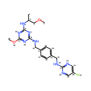 COCC(C)Nc1nc(NCc2ccc(CNc3ncc(F)cn3)cc2)nc(OC)n1